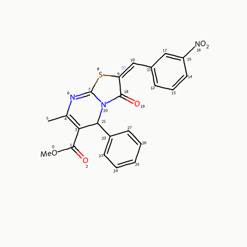 COC(=O)C1=C(C)N=c2s/c(=C/c3cccc([N+](=O)[O-])c3)c(=O)n2C1c1ccccc1